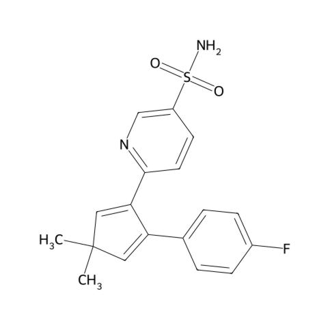 CC1(C)C=C(c2ccc(F)cc2)C(c2ccc(S(N)(=O)=O)cn2)=C1